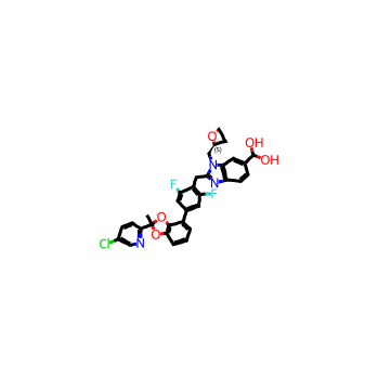 CC1(c2ccc(Cl)cn2)Oc2cccc(-c3cc(F)c(Cc4nc5ccc(C(O)O)cc5n4C[C@@H]4CCO4)c(F)c3)c2O1